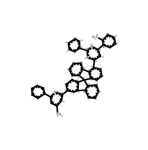 Cc1cc(-c2ccccc2)nc(-c2ccc3c(c2)-c2ccccc2C32c3ccccc3-c3c(-c4cc(-c5ccccc5C)nc(-c5ccccc5)n4)cccc32)c1